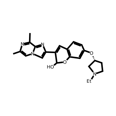 CCN1CC[C@@H](Oc2ccc3c(c2)OC(O)C(c2cn4cc(C)nc(C)c4n2)=C3)C1